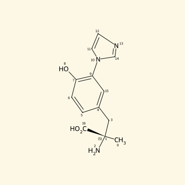 C[C@](N)(Cc1ccc(O)c(-n2ccnc2)c1)C(=O)O